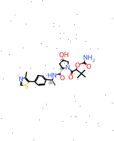 Cc1ncsc1-c1ccc([C@H](C)NC(=O)[C@@H]2C[C@H](O)CN2C(=O)C(OC(N)=O)C(C)(C)C)cc1